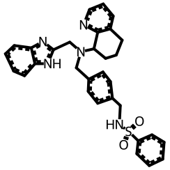 O=S(=O)(NCc1ccc(CN(Cc2nc3ccccc3[nH]2)C2CCCc3cccnc32)cc1)c1ccccc1